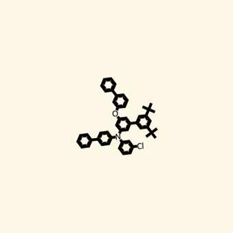 CC(C)(C)c1cc(-c2cc(Oc3cccc(-c4ccccc4)c3)cc(N(c3ccc(-c4ccccc4)cc3)c3cccc(Cl)c3)c2)cc(C(C)(C)C)c1